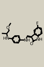 COCC(C)Nc1ccc(NC=C2C(=O)Nc3ccc(F)cc32)cc1